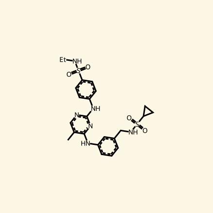 CCNS(=O)(=O)c1ccc(Nc2ncc(C)c(Nc3cccc(CNS(=O)(=O)C4CC4)c3)n2)cc1